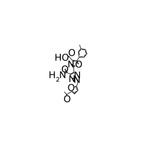 CC(=O)c1ccc(Cn2nc(C(N)=O)c(-c3nc(C(=O)O)c(-c4cccc(C)c4)o3)n2)o1